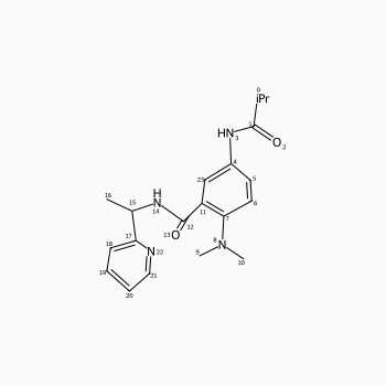 CC(C)C(=O)Nc1ccc(N(C)C)c(C(=O)NC(C)c2ccccn2)c1